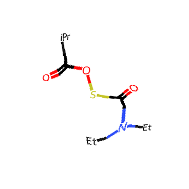 CCN(CC)C(=O)SOC(=O)C(C)C